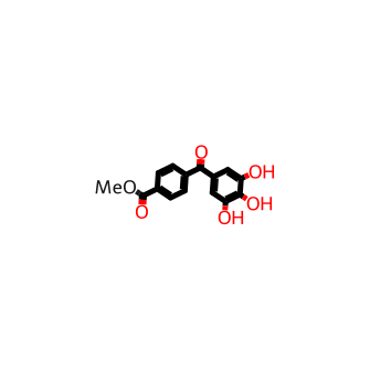 COC(=O)c1ccc(C(=O)c2cc(O)c(O)c(O)c2)cc1